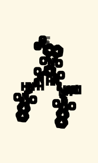 Cl.Cl.O=C(NCCNCCN1C(=O)c2cc3ccccc3cc2C1=O)c1cc(C(=O)NCCNCCN2C(=O)c3cc4ccccc4cc3C2=O)cc(N2C(=O)c3cccc4cc([N+](=O)[O-])cc(c34)C2=O)c1